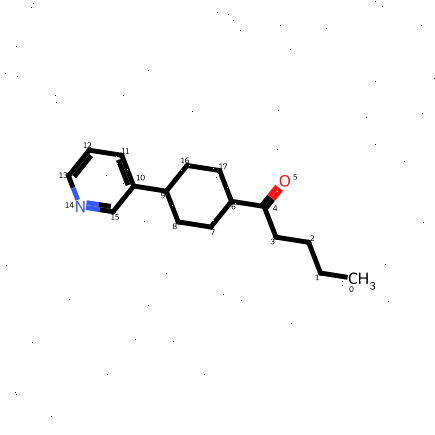 CCCCC(=O)C1CCC(c2cccnc2)CC1